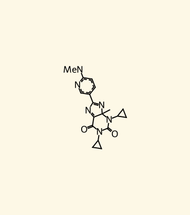 CNc1ccc(C2=NC3(C)C(=N2)C(=O)N(C2CC2)C(=O)N3C2CC2)cn1